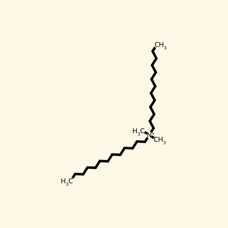 CCCCCCCCCCCCC[N+](C)(C)CCCCCCCCCCCCC